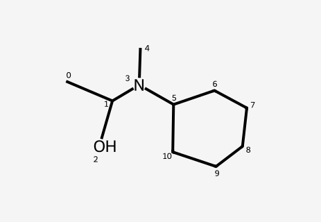 CC(O)N(C)C1CCCCC1